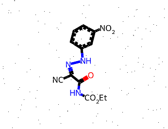 CCOC(=O)NC(=O)/C(C#N)=N\Nc1cccc([N+](=O)[O-])c1